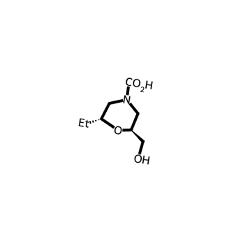 CC[C@@H]1CN(C(=O)O)C[C@@H](CO)O1